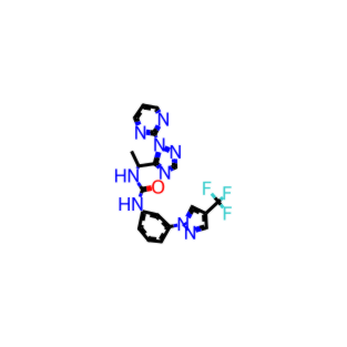 CC(NC(=O)Nc1cccc(-n2cc(C(F)(F)F)cn2)c1)c1ncnn1-c1ncccn1